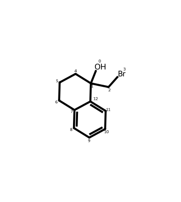 OC1(CBr)CCCc2ccccc21